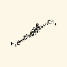 CCCCCCCCc1ccc(OC(=O)c2ccc(OCCC[C@H]3CC[C@H](CCCCC)CC3)cc2)cc1F